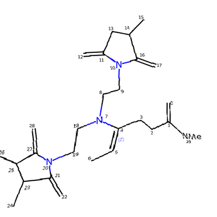 C=C(CC/C(=C/C)N(CCN1C(=C)CC(C)C1=C)CCN1C(=C)C(C)C(C)C1=C)NC